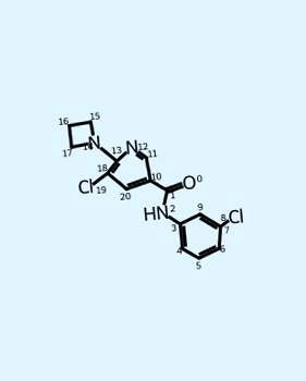 O=C(Nc1cccc(Cl)c1)c1cnc(N2CCC2)c(Cl)c1